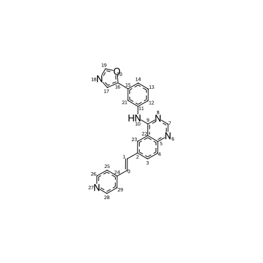 C(=C\c1ccc2ncnc(Nc3cccc(-c4cnco4)c3)c2c1)/c1ccncc1